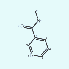 C[N]C(=O)c1cccnc1